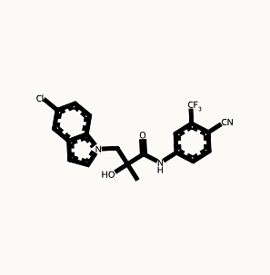 CC(O)(Cn1ccc2cc(Cl)ccc21)C(=O)Nc1ccc(C#N)c(C(F)(F)F)c1